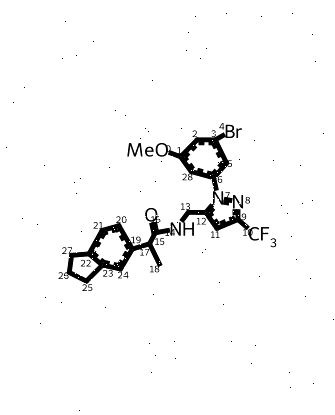 COc1cc(Br)cc(-n2nc(C(F)(F)F)cc2CNC(=O)C(C)c2ccc3c(c2)CCC3)c1